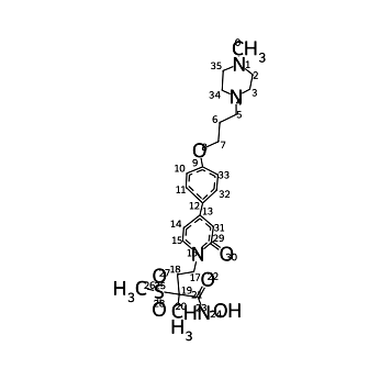 CN1CCN(CCCOc2ccc(-c3ccn(CCC(C)(C(=O)NO)S(C)(=O)=O)c(=O)c3)cc2)CC1